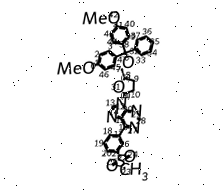 COc1ccc(C(OC[C@H]2[CH]C[C@H](n3cnc4c(-c5cccc(S(C)(=O)=O)c5)ncnc43)O2)(c2ccccc2)c2ccc(OC)cc2)cc1